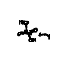 II.[O]=[Mo](=[O])([OH])[OH]